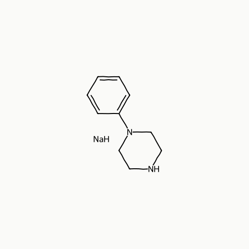 [NaH].c1ccc(N2CCNCC2)cc1